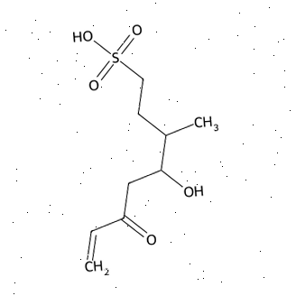 C=CC(=O)CC(O)C(C)CCS(=O)(=O)O